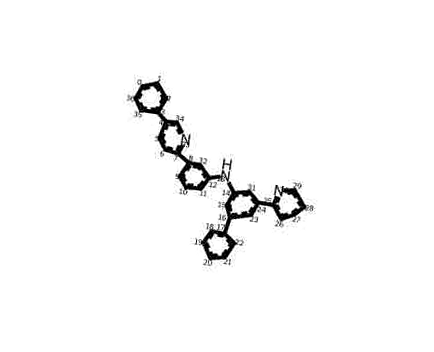 c1ccc(-c2ccc(-c3cccc(Nc4cc(-c5ccccc5)cc(-c5ccccn5)c4)c3)nc2)cc1